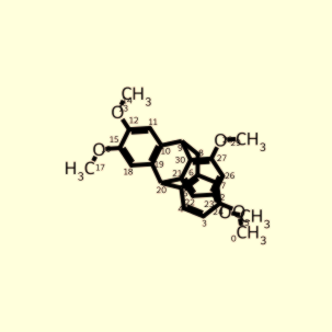 COc1ccc2c(c1)CC1c3cc(OC)c(OC)cc3C2c2cc(OC)cc(OC)c21